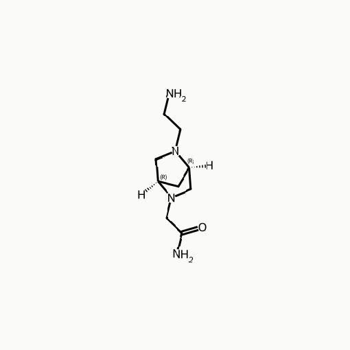 NCCN1C[C@H]2C[C@@H]1CN2CC(N)=O